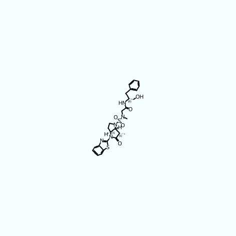 C[C@@H]1C(=O)N(c2nc3ccccc3s2)[C@H]2CCN(S(=O)(=O)N(C)CC(=O)N[C@@H](CO)Cc3ccccc3)[C@H]12